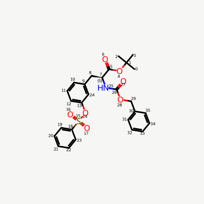 CC(C)(C)OC(=O)[C@H](Cc1cccc(OS(=O)(=O)c2ccccc2)c1)NC(=O)OCc1ccccc1